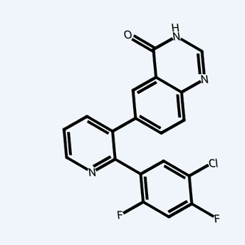 O=c1[nH]cnc2ccc(-c3cccnc3-c3cc(Cl)c(F)cc3F)cc12